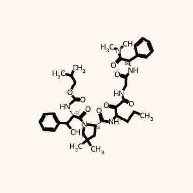 CCCC(NC(=O)[C@@H]1CC(C)(C)CN1C(=O)[C@@H](NC(=O)OCC(C)C)C(C)c1ccccc1)C(=O)C(=O)NCC(=O)N[C@H](C(=O)N(C)C)c1ccccc1